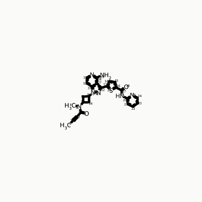 CC#CC(=O)N(C)C1CC(n2nc(-c3ccc(C(=O)Nc4ccccn4)s3)c3c(N)nccc32)C1